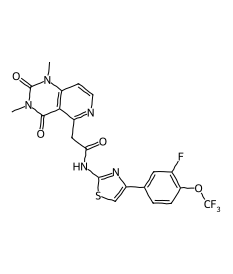 Cn1c(=O)c2c(CC(=O)Nc3nc(-c4ccc(OC(F)(F)F)c(F)c4)cs3)nccc2n(C)c1=O